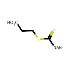 CNC(=S)SCCC(=O)O